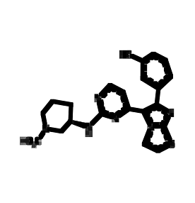 N#Cc1cccc(-c2nc3sccn3c2-c2ccnc(N[C@@H]3CCCN(C(=O)O)C3)n2)c1